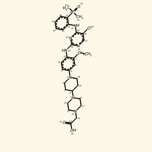 COc1cc(N2CCC(N3CCN(CC(=O)O)CC3)CC2)ccc1Nc1ncc(Cl)c(Nc2ccccc2P(C)(C)=O)n1